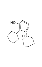 Oc1cccc([SiH]2CCCCC2)c1C1CCCCC1